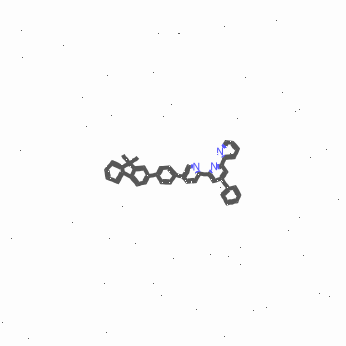 CC1(C)c2ccccc2-c2ccc(-c3ccc(-c4ccc(-c5cc(-c6ccccc6)cc(-c6ccccn6)n5)nc4)cc3)cc21